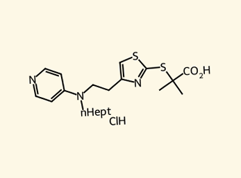 CCCCCCCN(CCc1csc(SC(C)(C)C(=O)O)n1)c1ccncc1.Cl